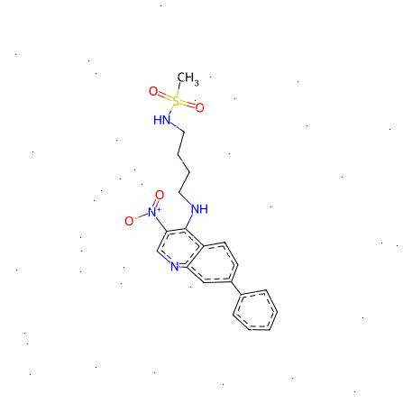 CS(=O)(=O)NCCCCNc1c([N+](=O)[O-])cnc2cc(-c3ccccc3)ccc12